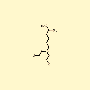 N[C@@H](CCCCN(CCCl)CCCl)C(=O)O